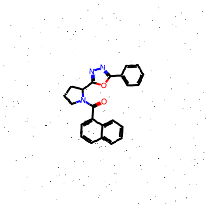 O=C(c1cccc2ccccc12)N1CCCC1c1nnc(-c2ccccc2)o1